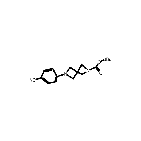 CC(C)(C)OC(=O)N1CC2(C1)CN(c1ccc(C#N)cc1)C2